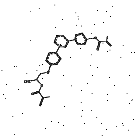 C=C(C)C(=O)Oc1ccc(-c2cccc(-c3ccc(OCC(C=O)OC(=O)C(=C)C)cc3)c2)cc1